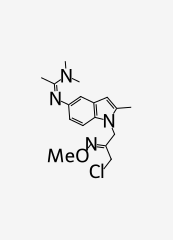 CON=C(CCl)Cn1c(C)cc2cc(N=C(C)N(C)C)ccc21